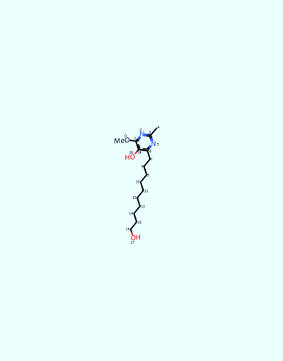 COc1nc(C)nc(CCCCCCCCCCO)c1O